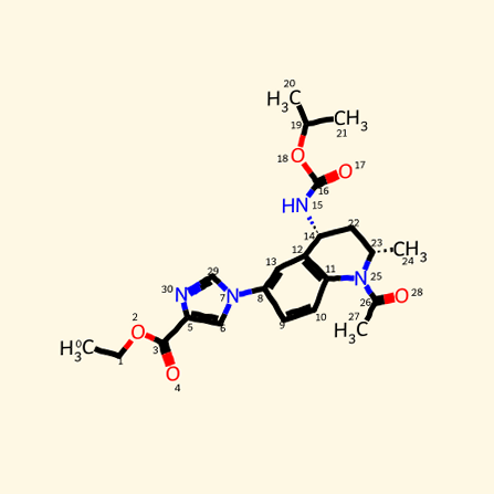 CCOC(=O)c1cn(-c2ccc3c(c2)[C@H](NC(=O)OC(C)C)C[C@H](C)N3C(C)=O)cn1